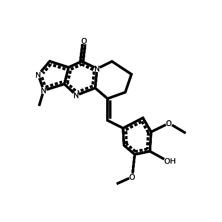 COc1cc(C=C2CCCn3c2nc2c(cnn2C)c3=O)cc(OC)c1O